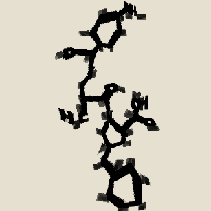 CC(CSC(=O)c1ccc(N)cc1)C(=O)N1CC(Cc2ccccc2)CC1C(=O)O